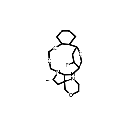 C[C@@H]1CC2(COCCN2)C2CC3CCC(CC3F)C3CCCCC3CCCCN21